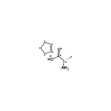 C1=CCCC1.C[C@H](N)C(=O)O